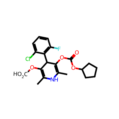 CC1=C(OC(=O)O)C(c2c(F)cccc2Cl)C(OC(=O)OC2CCCC2)=C(C)N1